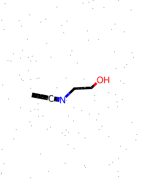 C=C=NCCO